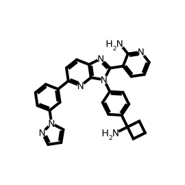 Nc1ncccc1-c1nc2ccc(-c3cccc(-n4cccn4)c3)nc2n1-c1ccc(C2(N)CCC2)cc1